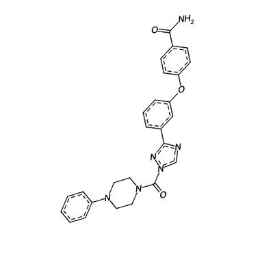 NC(=O)c1ccc(Oc2cccc(-c3ncn(C(=O)N4CCN(c5ccccc5)CC4)n3)c2)cc1